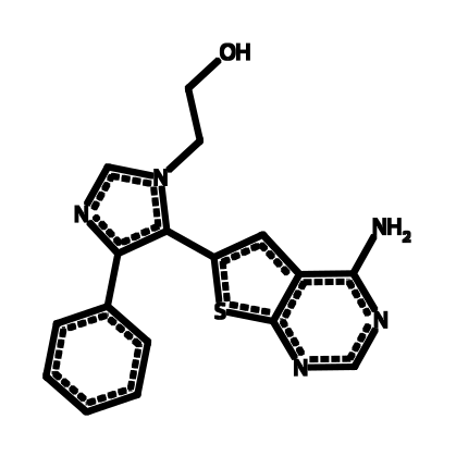 Nc1ncnc2sc(-c3c(-c4ccccc4)ncn3CCO)cc12